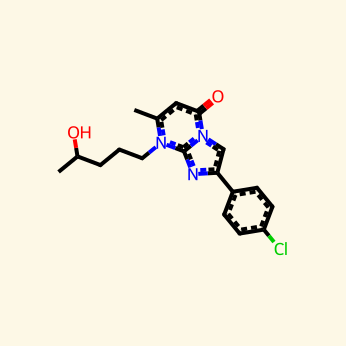 Cc1cc(=O)n2cc(-c3ccc(Cl)cc3)nc2n1CCCC(C)O